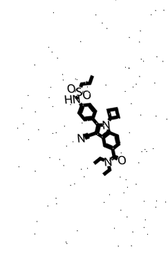 CCCS(=O)(=O)Nc1ccc(-c2c(C#N)c3cc(C(=O)N(CC)CC)ccc3n2C2CCC2)cc1